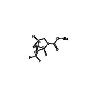 CC(C)(C)OC(=O)N1C[C@H]2CC(=C(F)F)[C@@H]1[C@@H]2Br